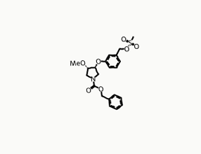 CO[C@H]1CN(C(=O)OCc2ccccc2)C[C@@H]1Oc1cccc(COS(C)(=O)=O)c1